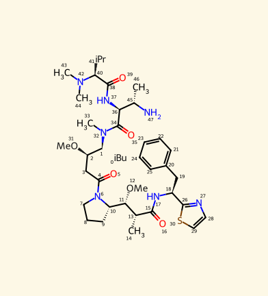 CC[C@H](C)[C@@H]([C@@H](CC(=O)N1CCC[C@H]1[C@H](OC)[C@@H](C)C(=O)N[C@@H](Cc1ccccc1)c1nccs1)OC)N(C)C(=O)[C@@H](NC(=O)[C@H](C(C)C)N(C)C)[C@H](C)N